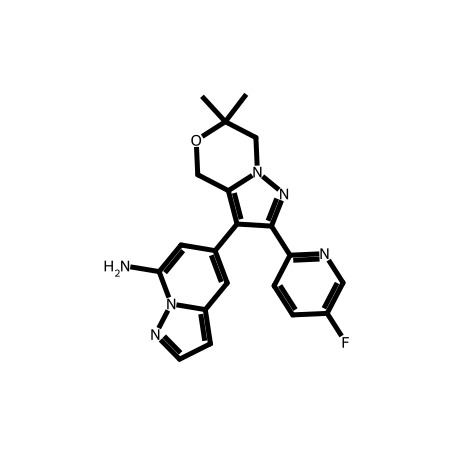 CC1(C)Cn2nc(-c3ccc(F)cn3)c(-c3cc(N)n4nccc4c3)c2CO1